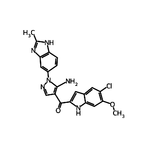 COc1cc2[nH]c(C(=O)c3cnn(-c4ccc5[nH]c(C)nc5c4)c3N)cc2cc1Cl